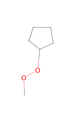 COOC1CCCC1